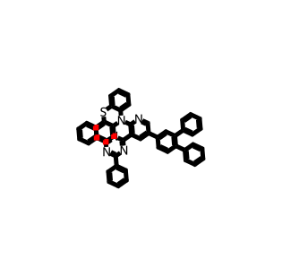 c1ccc(-c2nc(-c3ccccc3)nc(-c3cc(-c4ccc(-c5ccccc5)c(-c5ccccc5)c4)cnc3N3c4ccccc4Sc4ccccc43)n2)cc1